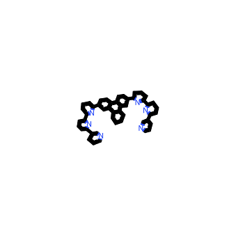 c1cncc(-c2cccc(-c3cccc(-c4ccc5c6ccc(-c7cccc(-c8cccc(-c9cccnc9)n8)n7)cc6c6ccccc6c5c4)n3)n2)c1